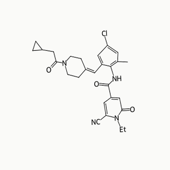 CCn1c(C#N)cc(C(=O)Nc2c(C)cc(Cl)cc2C=C2CCN(C(=O)CC3CC3)CC2)cc1=O